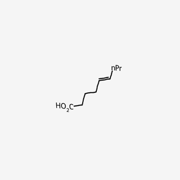 CCCC=CCCCC(=O)O